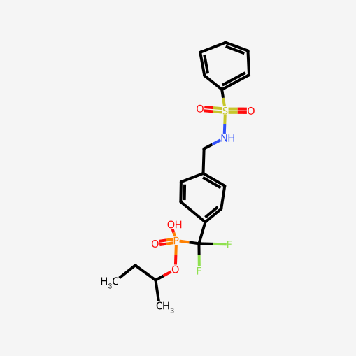 CCC(C)OP(=O)(O)C(F)(F)c1ccc(CNS(=O)(=O)c2ccccc2)cc1